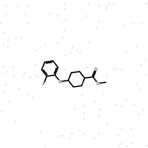 COC(=O)C1CCC(Oc2ccccc2F)CC1